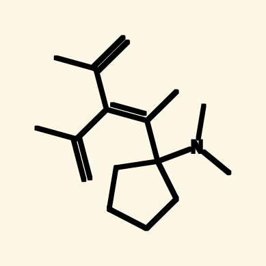 C=C(C)C(C(=C)C)=C(C)C1(N(C)C)CCCC1